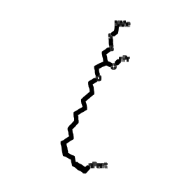 CCCCC/C=C\C/C=C\CCCCCCCCOCC(CSSCNC)OCCC